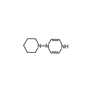 C1=CN(N2CCCCC2)C=CN1